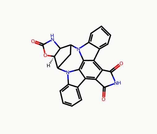 O=C1NC2C3CC([C@H]2O1)n1c2ccccc2c2c4c(c5c6ccccc6n3c5c21)C(=O)NC4=O